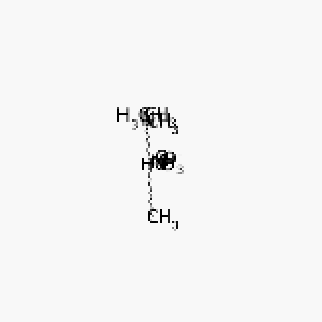 CCCCCCCCCCCCCCCCCCCCCC[N+](C)(C)C.N.O=S(=O)([O-])O